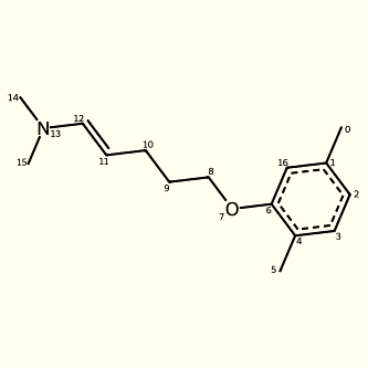 Cc1ccc(C)c(OCCCC=CN(C)C)c1